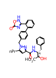 CCCc1cc(C(=O)N[C@H](Cc2ccccc2)[C@@H](O)C(=O)O)nn1Cc1ccc(-c2ccccc2-c2nc(=O)o[nH]2)cc1